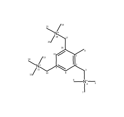 Cc1c(C[N+](C)(C)C)cc(C[N+](C)(C)C)cc1C[N+](C)(C)C